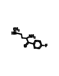 CNCCC(N)C(=O)c1ccc(F)cc1